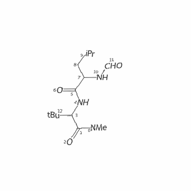 CNC(=O)C(NC(=O)C(CC(C)C)NC=O)C(C)(C)C